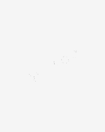 Cl.N=C(N)N1CCC(CCC(=O)Oc2ccc(S(N)(=O)=O)cc2)CC1